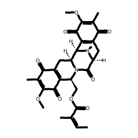 C/C=C(/C)C(=O)OC[C@H]1C2=C(C[C@H]3[C@H]4C5=C(C[C@@H](C(=O)N13)N4C)C(=O)C(C)=C(OC)C5=O)C(=O)C(C)=C(OC)C2=O